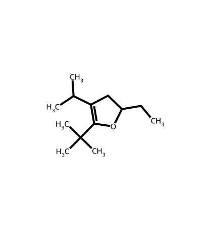 CCC1CC(C(C)C)=C(C(C)(C)C)O1